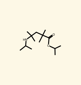 CC(C)NC(C)(C)CC(C)(C)C(=O)OC(C)C